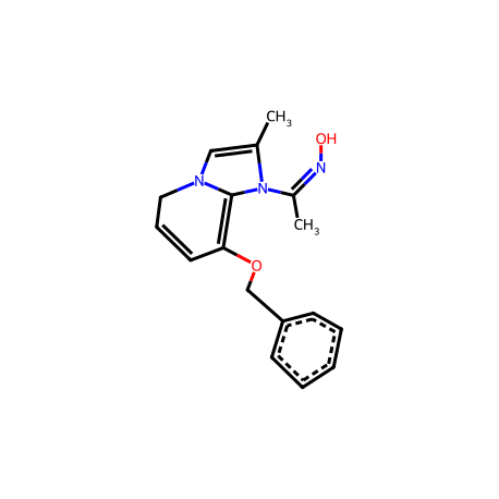 CC1=CN2CC=CC(OCc3ccccc3)=C2N1/C(C)=N\O